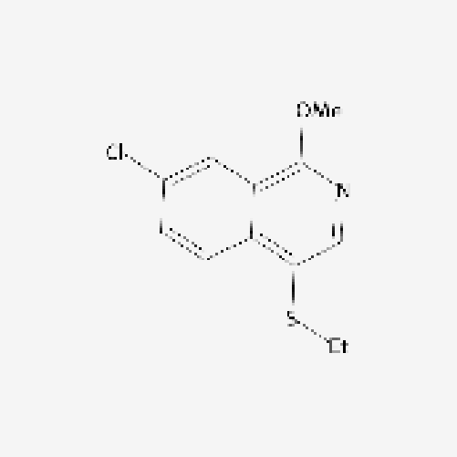 CCSc1cnc(OC)c2cc(Cl)ccc12